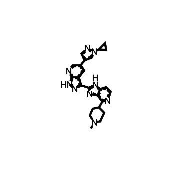 CN1CCC(c2nccc3[nH]c(-c4n[nH]c5ncc(-c6cnn(C7CC7)c6)cc45)nc23)CC1